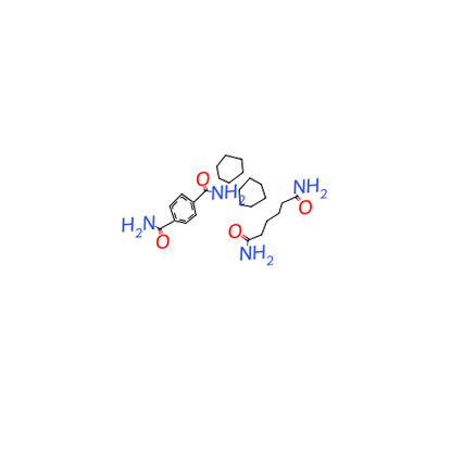 C1CCCCC1.C1CCCCC1.NC(=O)CCCCC(N)=O.NC(=O)c1ccc(C(N)=O)cc1